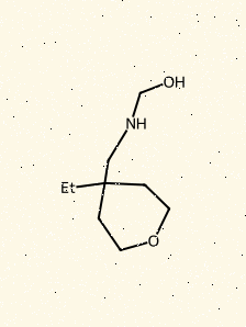 CCC1(CNCO)CCOCC1